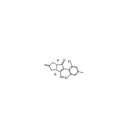 C=C1C[C@@H]2C(O)=C(c3c(CC)cc(C)cc3CC)C(=O)[C@@H]2C1